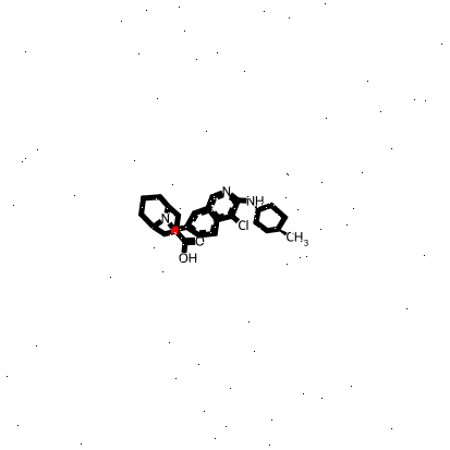 C[C@H]1CC[C@H](Nc2ncc3cc(CN4C5CCCC4CC(C(=O)O)C5)ccc3c2Cl)CC1